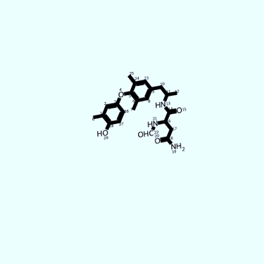 Cc1cc(Oc2c(C)cc(CC(C)NC(=O)C(CC(N)=O)NC=O)cc2C)ccc1O